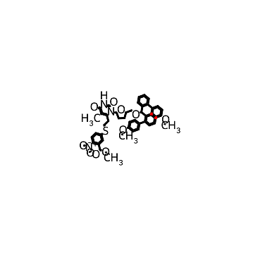 COC(=O)c1cc(SCCc2c(C)c(=O)[nH]c(=O)n2C2CCC(COC(c3ccccc3-c3ccc(OC)cc3)c3ccccc3-c3ccc(OC)cc3)O2)ccc1[N+](=O)[O-]